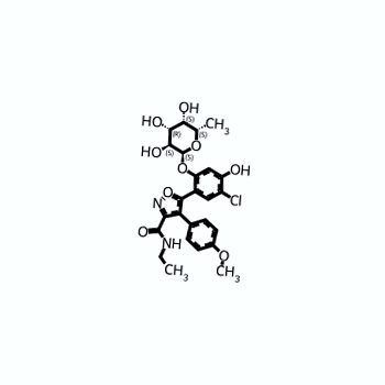 CCNC(=O)c1noc(-c2cc(Cl)c(O)cc2O[C@@H]2O[C@@H](C)[C@@H](O)[C@@H](O)[C@@H]2O)c1-c1ccc(OC)cc1